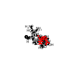 CC(C)C[C@H](NC(=O)[C@H](Cc1c[nH]c2ccccc12)NC(=O)CNC(=O)[C@@H](NC(=O)[C@H](CC(C)C)NC(=O)[C@H](CC(=O)O)NC(=O)[C@H](C)NC(=O)[C@@H](NC(=O)[C@H](CC(=O)O)NC(=O)[C@H](CC(C)C)NC(=O)[C@@H](NC(=O)[C@H](C)NC(=O)[C@H](C)NC(=O)CNC(=O)[C@H](C)NC(=O)CNC(=O)[C@H](C)NC(=O)[C@@H](N)[C@@H](C)O)[C@@H](C)O)[C@@H](C)O)C(C)C)C(=O)N[C@@H](CCC(N)=O)C(=O)N[C@@H](CCC(N)=O)C(=O)O